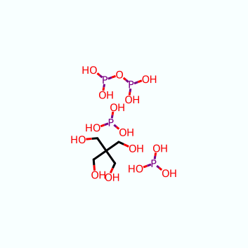 OCC(CO)(CO)CO.OP(O)O.OP(O)O.OP(O)OP(O)O